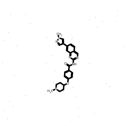 CN1CCC(Oc2ccc(C(=O)Nc3ncc4ccc(-c5cnn(C)c5)cc4n3)cc2)CC1